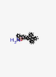 NC(=O)c1ccccc1-c1ccc(-c2ccc(C(=C(c3ccccc3)c3ccccc3)c3ccccc3)cc2)cc1